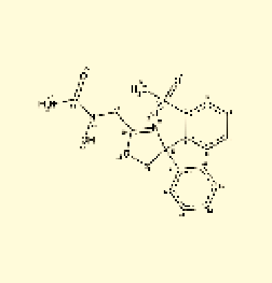 CS(=O)(=O)c1ccccc1C1(c2ccccc2)COC(CN(O)C(N)=O)=N1